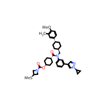 COc1ccc([C@H]2CC[C@H](CN(c3cccc(-c4cnn(C5CC5)c4)c3)C(=O)[C@H]3CC[C@H](OC(=O)N4CC(SC)C4)CC3)CC2)cc1C